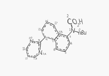 CCCCN(C(=O)O)c1cccc2c(-c3ncccn3)cccc12